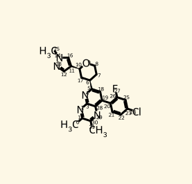 Cc1nc2nc([C@@H]3CCO[C@H](c4cnn(C)c4)C3)cc(-c3ccc(Cl)cc3F)c2nc1C